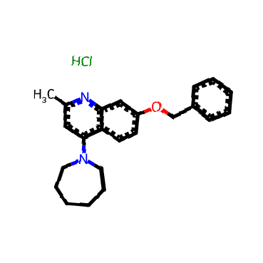 Cc1cc(N2CCCCCC2)c2ccc(OCc3ccccc3)cc2n1.Cl